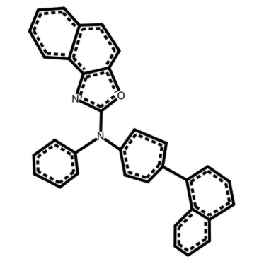 c1ccc(N(c2ccc(-c3cccc4ccccc34)cc2)c2nc3c(ccc4ccccc43)o2)cc1